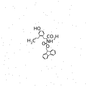 C=CCc1cc(O)ccc1C[C@H](NC(=O)OCC1c2ccccc2-c2ccccc21)C(=O)O